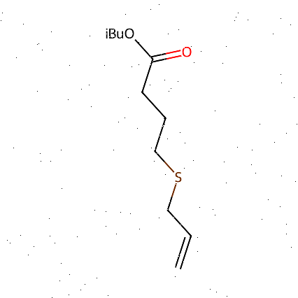 C=CCSCCCC(=O)OCC(C)C